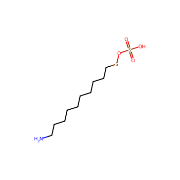 NCCCCCCCCCCSOS(=O)(=O)O